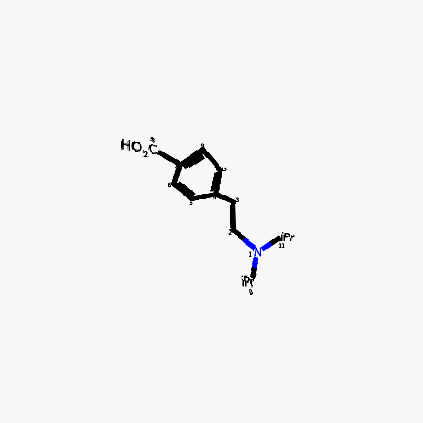 CC(C)N(CCc1ccc(C(=O)O)cc1)C(C)C